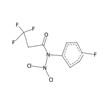 O=C(CC(F)(F)F)N(c1ccc(F)cc1)N(Cl)Cl